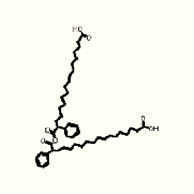 O=C(O)CCCCCCCCCCCCCCCC(C(=O)OC(=O)C(CCCCCCCCCCCCCCCC(=O)O)c1ccccc1)c1ccccc1